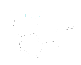 C=C[C](C)c1cccc(CCC)c1C(F)(F)F